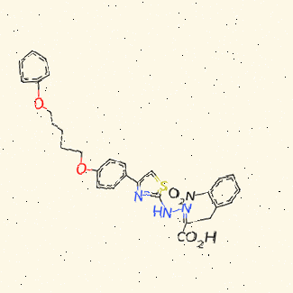 O=C(O)C(Cc1ccccc1[N+](=O)[O-])=NNc1nc(-c2ccc(OCCCCCOc3ccccc3)cc2)cs1